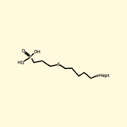 CCCCCCCCCCCCSCCCP(=O)(O)O